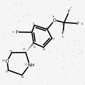 Fc1cc(OC(F)(F)F)ccc1[C@H]1COCCN1